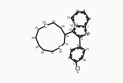 Clc1ccc(-c2nc3ccccn3c2C2CCCCCCCCCC2)cc1